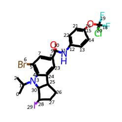 CC(C)N1c2c(Br)cc(C(=O)Nc3ccc(OC(F)(F)Cl)cc3)cc2C2CCC(I)C21